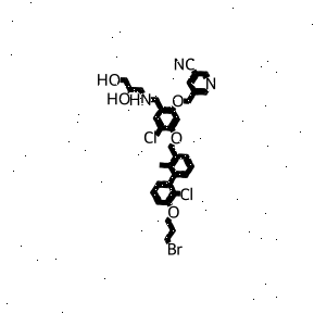 Cc1c(COc2cc(OCc3cncc(C#N)c3)c(CNC[C@H](O)CO)cc2Cl)cccc1-c1cccc(OCCCBr)c1Cl